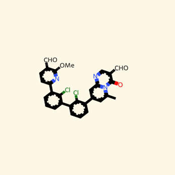 COc1nc(-c2cccc(-c3cccc(-c4cc(C)n5c(=O)c(C=O)cnc5c4)c3Cl)c2Cl)ccc1C=O